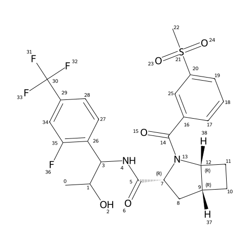 CC(O)C(NC(=O)[C@H]1C[C@H]2CC[C@H]2N1C(=O)c1cccc(S(C)(=O)=O)c1)c1ccc(C(F)(F)F)cc1F